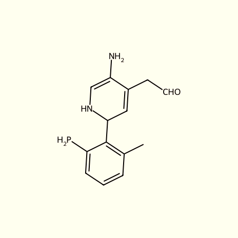 Cc1cccc(P)c1C1C=C(CC=O)C(N)=CN1